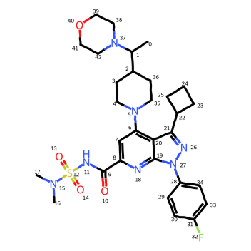 CC(C1CCN(c2cc(C(=O)NS(=O)(=O)N(C)C)nc3c2c(C2CCC2)nn3-c2ccc(F)cc2)CC1)N1CCOCC1